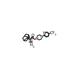 NC(=O)C12CC3CC(C1)C(NC(=O)CN1CCN(c4ccc(C(F)(F)F)cn4)CC1)C(C3)C2